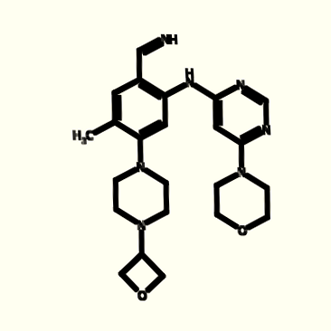 Cc1cc(C=N)c(Nc2cc(N3CCOCC3)ncn2)cc1N1CCN(C2COC2)CC1